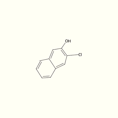 Oc1cc2[c]cccc2cc1Cl